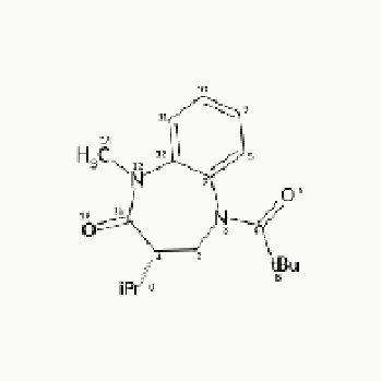 CC(C)[C@H]1CN(C(=O)C(C)(C)C)c2ccccc2N(C)C1=O